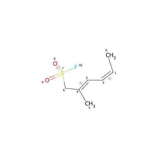 C/C=C\C=C(/C)CS(=O)(=O)F